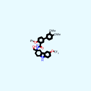 COc1ccc(-c2ccc(OC(C)C)c(C(=O)NC3(CO)CCc4[nH]c5ccc(OC(F)(F)F)cc5c4C3)c2)cc1OC